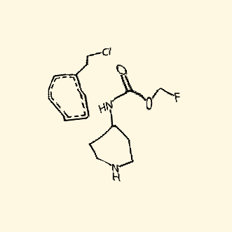 ClCc1ccccc1.O=C(NC1CCNCC1)OCF